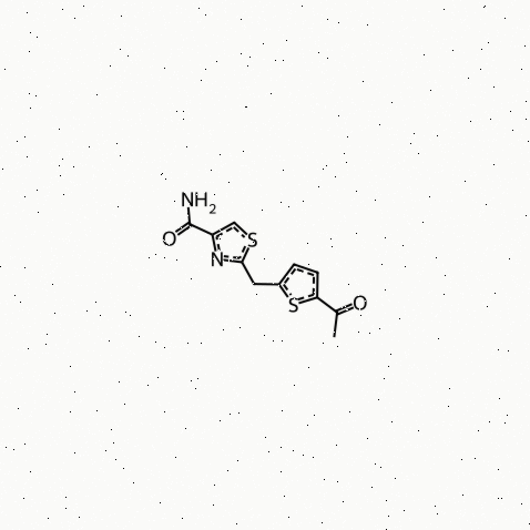 CC(=O)c1ccc(Cc2nc(C(N)=O)cs2)s1